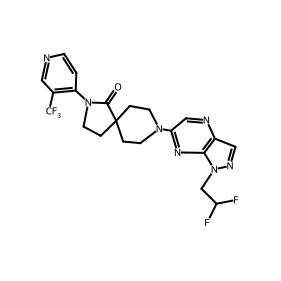 O=C1N(c2ccncc2C(F)(F)F)CCC12CCN(c1cnc3cnn(CC(F)F)c3n1)CC2